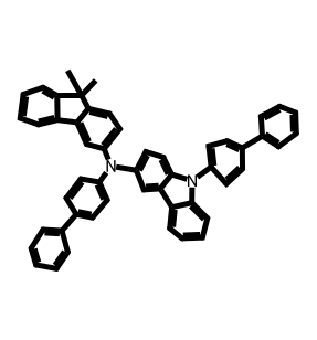 CC1(C)c2ccccc2-c2cc(N(c3ccc(-c4ccccc4)cc3)c3ccc4c(c3)c3ccccc3n4-c3ccc(-c4ccccc4)cc3)ccc21